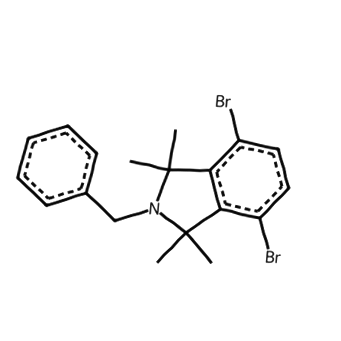 CC1(C)c2c(Br)ccc(Br)c2C(C)(C)N1Cc1ccccc1